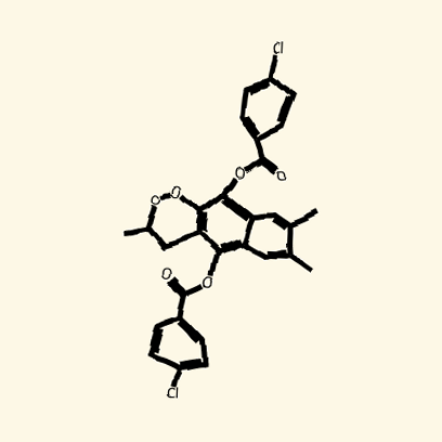 Cc1cc2c(OC(=O)c3ccc(Cl)cc3)c3c(c(OC(=O)c4ccc(Cl)cc4)c2cc1C)OOC(C)C3